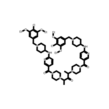 CCOc1cc(CN2CCC(Nc3ccc(C(=O)N4CCN(C(C)C(=O)C(C)N5CCN(C(=O)c6ccc(NC7CCN(Cc8cc(OCC)c(Cl)c(OCC)c8)CC7)nc6)CC5)CC4)cn3)CC2)cc(OCC)c1Cl